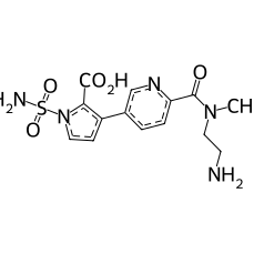 CN(CCN)C(=O)c1ccc(-c2ccn(S(N)(=O)=O)c2C(=O)O)cn1